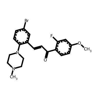 COc1ccc(C(=O)C=Cc2cc(Br)ccc2N2CCN(C)CC2)c(F)c1